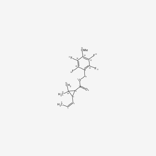 C/C=C\C1C(C(=O)OCc2c(F)c(F)c(OC)c(F)c2F)C1(C)C